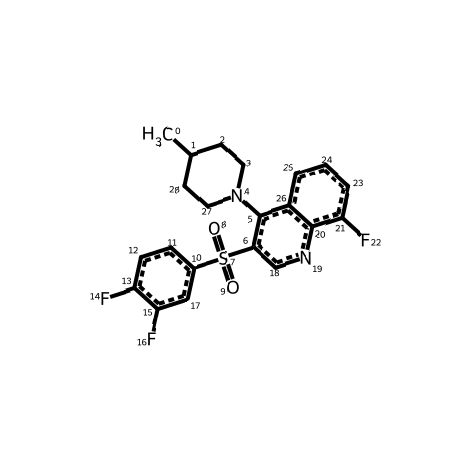 CC1CCN(c2c(S(=O)(=O)c3ccc(F)c(F)c3)cnc3c(F)cccc23)CC1